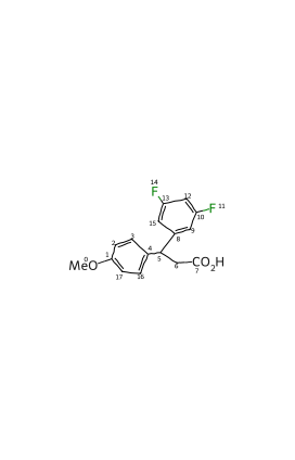 COc1ccc(C(CC(=O)O)c2cc(F)cc(F)c2)cc1